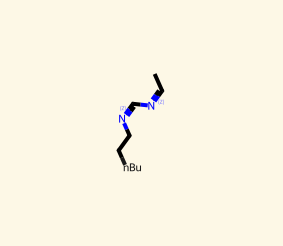 C/C=N\C=N/CCCCCC